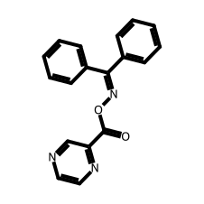 O=C(ON=C(c1ccccc1)c1ccccc1)c1cnccn1